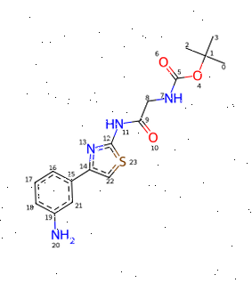 CC(C)(C)OC(=O)NCC(=O)Nc1nc(-c2cccc(N)c2)cs1